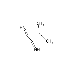 CCC.N=CC=N